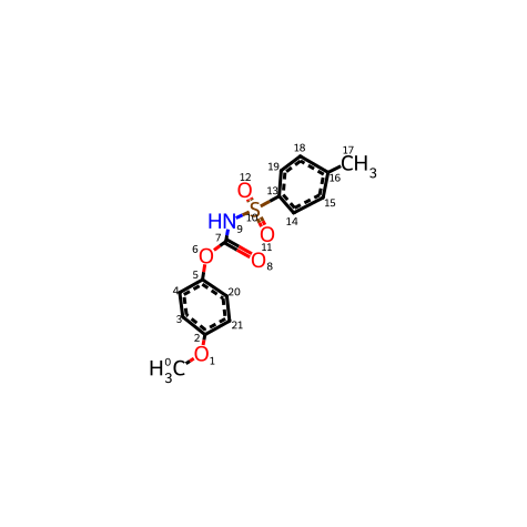 COc1ccc(OC(=O)NS(=O)(=O)c2ccc(C)cc2)cc1